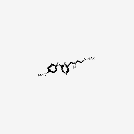 COc1ccc(Oc2cncc(CNCCNC(C)=O)n2)cc1